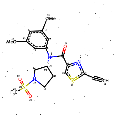 C#Cc1nc(C(=O)N(c2cc(OC)cc(OC)c2)[C@@H]2CCN(S(=O)(=O)C(F)(F)F)C2)cs1